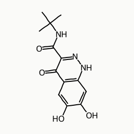 CC(C)(C)NC(=O)c1n[nH]c2cc(O)c(O)cc2c1=O